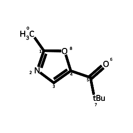 Cc1ncc(C(=O)C(C)(C)C)o1